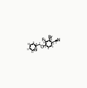 N#Cc1ccc(OCc2ccccn2)c(F)c1Br